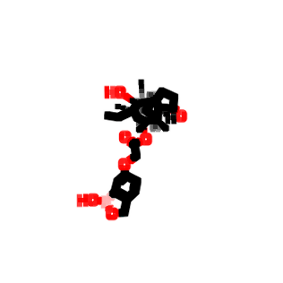 CC[C@]1(C)C[C@@H](OC(=O)COc2ccc3c(c2)B(O)OC3)[C@]2(C)[C@H](C)CC[C@]3(CCC(=O)[C@H]32)[C@@H](C)[C@@H]1O